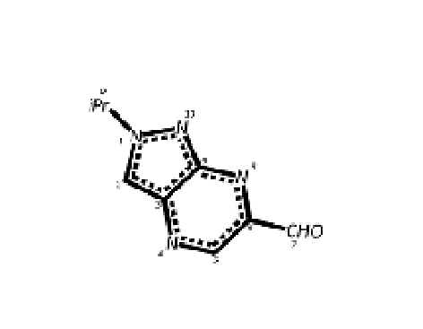 CC(C)n1cc2ncc(C=O)nc2n1